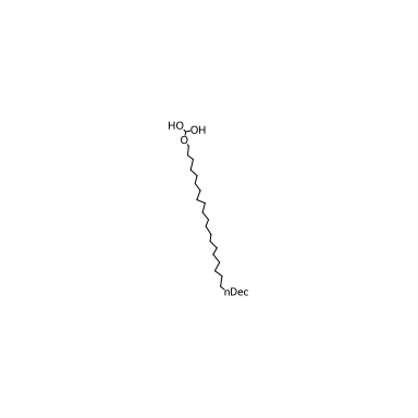 CCCCCCCCCCCCCCCCCCCCCCCCCCCCCCOC(O)O